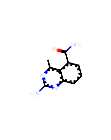 Cc1nc(N)nc2cccc(C(N)=O)c12